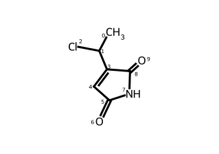 CC(Cl)C1=CC(=O)NC1=O